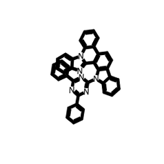 c1ccc(-c2nc(-c3ccccc3)nc(-n3c4ccccc4c4ccc5c6ccccc6n6c7ccccc7nc6c5c43)n2)cc1